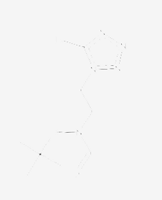 CC(C)(C)ON(C=O)CCn1nnnc1S